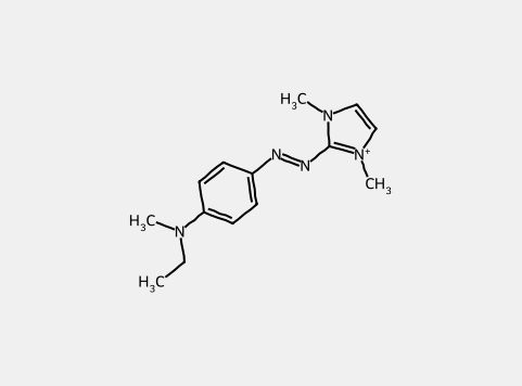 CCN(C)c1ccc(/N=N/c2n(C)cc[n+]2C)cc1